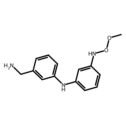 COONc1cccc(Nc2cccc(CN)c2)c1